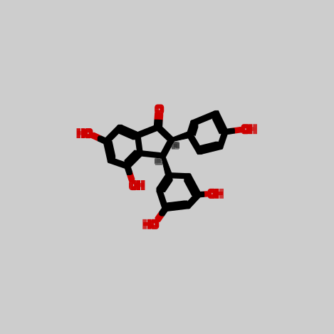 O=C1c2cc(O)cc(O)c2[C@H](c2cc(O)cc(O)c2)[C@@H]1c1ccc(O)cc1